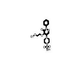 CCCS(=O)(=O)N1CCN(c2cnn(-c3ccccc3)c(=O)c2OCCOCC)CC1